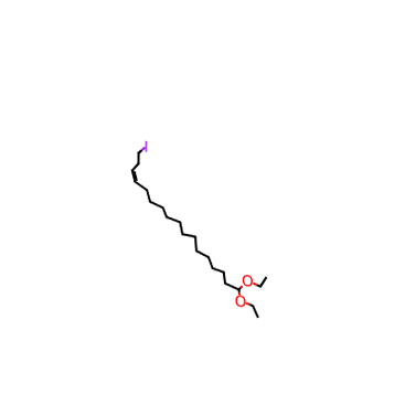 CCOC(CCCCCCCCCCCC/C=C\CCI)OCC